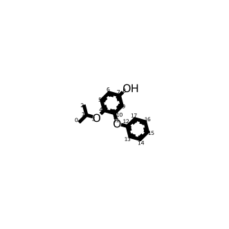 CC(C)Oc1ccc(O)cc1Oc1ccccc1